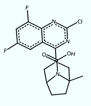 CC12CCC(CN(c3nc(Cl)nc4c(F)cc(F)cc34)C1)N2C(=O)O